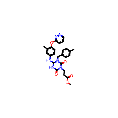 COC(=O)CCN1C(=O)NC(Nc2ccc(Oc3cccnn3)c(C)c2)N(Cc2ccc(C)cc2)C1=O